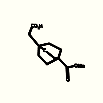 COC(=O)C12CCC(CC(=O)O)(CC1)CC2